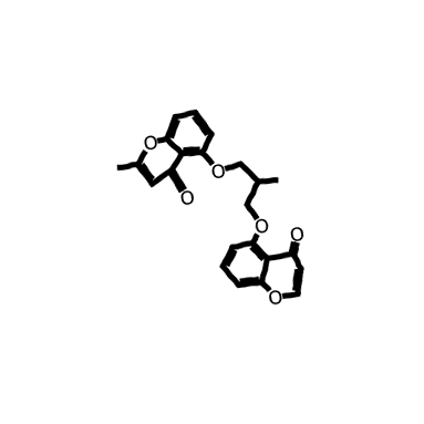 Cc1cc(=O)c2c(OCC(C)COc3cccc4occc(=O)c34)cccc2o1